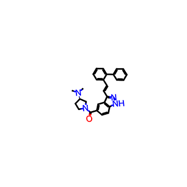 CN(C)[C@H]1CCN(C(=O)c2ccc3[nH]nc(/C=C/c4ccccc4-c4ccccc4)c3c2)C1